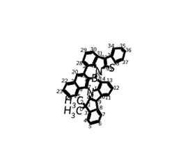 CC1(C)c2ccccc2C2c3cccc4c3N(c3c5c(cc6ccccc36)-c3cccc6c7c8ccccc8sc7n(c36)B45)C21